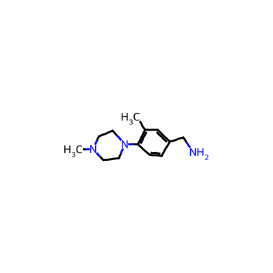 Cc1cc(CN)ccc1N1CCN(C)CC1